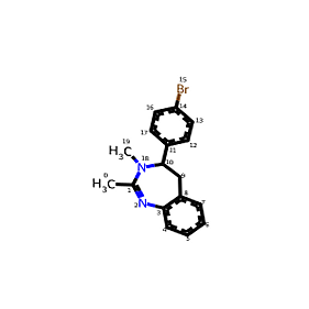 CC1=Nc2ccccc2CC(c2ccc(Br)cc2)N1C